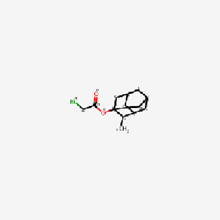 CC1C2CC3CC(C2)CC1(OC(=O)CBr)C3